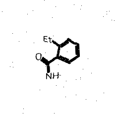 CCc1ccccc1C([NH])=O